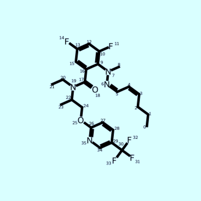 CCC/C=C\C=N/N(C)c1c(F)cc(F)cc1C(=O)N(CC)C(C)COc1ccc(C(F)(F)F)cn1